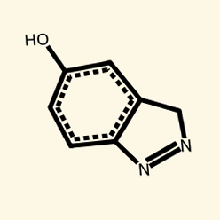 Oc1ccc2c(c1)CN=N2